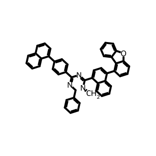 C=N/C(=N\C(=N/Cc1ccccc1)c1ccc(-c2cccc3ccccc23)cc1)c1ccc(-c2cccc3oc4ccccc4c23)c2ccccc12